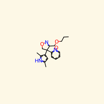 CCCOC(=O)C1=NOCC1(c1ccccn1)c1cc(C)[nH]c1C